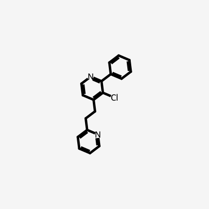 Clc1c(CCc2ccccn2)ccnc1-c1ccccc1